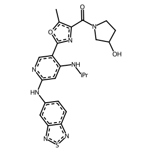 Cc1oc(-c2cnc(Nc3ccc4nsnc4c3)cc2NC(C)C)nc1C(=O)N1CCC(O)C1